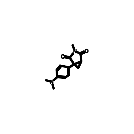 CN1C(=O)C2CC2(c2ccc(N(C)C)cc2)C1=O